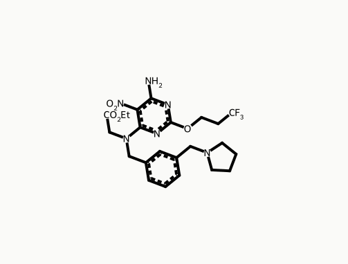 CCOC(=O)CN(Cc1cccc(CN2CCCC2)c1)c1nc(OCCC(F)(F)F)nc(N)c1[N+](=O)[O-]